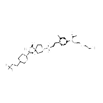 CC(=O)N(CCOCCO)c1ccc(/C=C/S(=O)(=O)N2CCC3(CC2)N=C(C2CCC(CCC(F)(F)F)CC2)NC3=O)c(C)c1